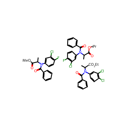 CC(C)OC(=O)C(C)N(C(=O)c1ccccc1)c1ccc(F)c(Cl)c1.CCOC(=O)C(C)N(C(=O)c1ccccc1)c1ccc(Cl)c(Cl)c1.COC(=O)C(C)N(C(=O)c1ccccc1)c1ccc(F)c(Cl)c1